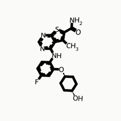 Cc1c(C(N)=O)sc2ncnc(Nc3ccc(F)cc3O[C@H]3CC[C@@H](O)CC3)c12